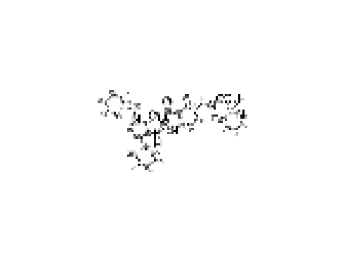 Cc1c(CN(Cc2cccnc2)C(=O)O)ccc2nc(N[C@@H](Cc3ccccc3)C(=O)N(C)Cc3ccccc3)oc(=O)c12